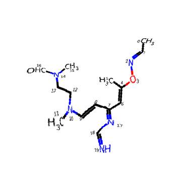 C/C=N/O/C(C)=C/C(/C=C/N(C)CCN(C)C=O)=N/C=N